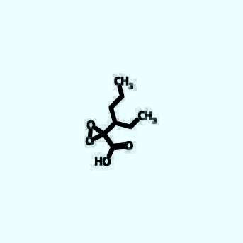 CCCC(CC)C1(C(=O)O)OO1